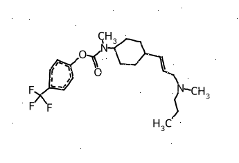 CCCN(C)CC=CC1CCC(N(C)C(=O)Oc2ccc(C(F)(F)F)cc2)CC1